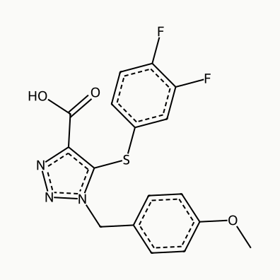 COc1ccc(Cn2nnc(C(=O)O)c2Sc2ccc(F)c(F)c2)cc1